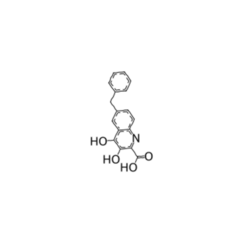 O=C(O)c1nc2ccc(Cc3ccccc3)cc2c(O)c1O